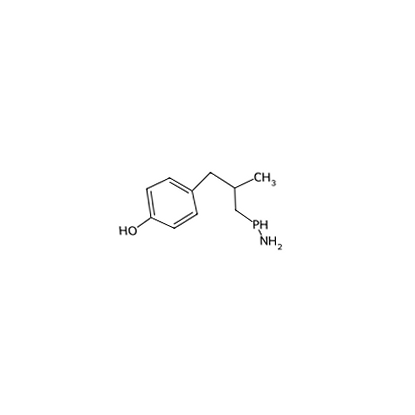 CC(CPN)Cc1ccc(O)cc1